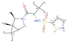 C[C@@H]1[C@@H]2C(CN1C(=O)[C@@H](NS(=O)(=O)c1ccns1)C(C)(C)C)C2(C)C